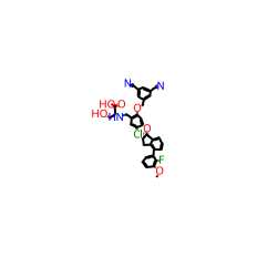 COc1cccc(-c2cccc3c2CC[C@@H]3Oc2cc(OCc3cc(C#N)cc(C#N)c3)c(CNC(CO)C(=O)O)cc2Cl)c1F